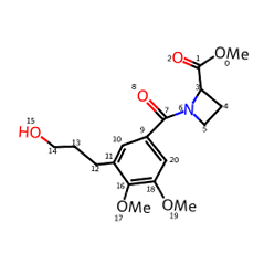 COC(=O)C1CCN1C(=O)c1cc(CCCO)c(OC)c(OC)c1